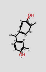 CC1=C(O)C=CC(C(C)c2ccc(O)c(C)c2)=CC1